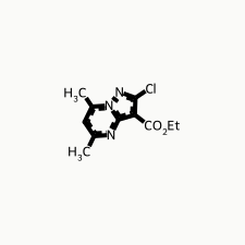 CCOC(=O)c1c(Cl)nn2c(C)cc(C)nc12